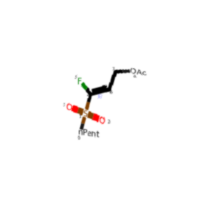 CCCCCS(=O)(=O)/C(F)=C/COC(C)=O